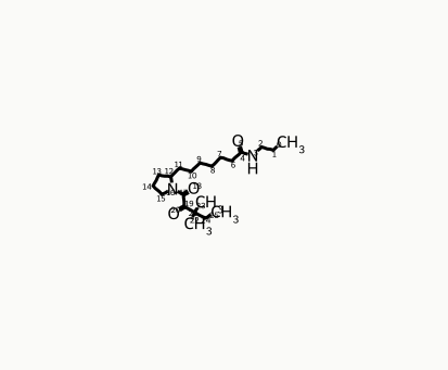 CCCNC(=O)CCCCCCC1CCCN1C(=O)C(=O)C(C)(C)CC